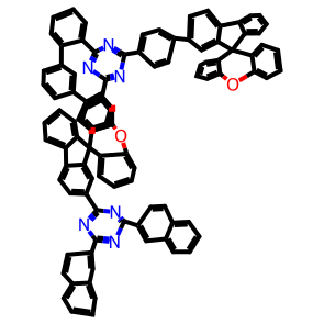 c1ccc(-c2nc(-c3ccc(-c4ccc5c(c4)C4(c6ccccc6Oc6ccccc64)c4ccccc4-5)cc3)nc(-c3ccccc3-c3cccc(-c4ccc5c(c4)C4(c6ccccc6O5)c5ccccc5-c5ccc(-c6nc(-c7ccc8ccccc8c7)nc(-c7ccc8ccccc8c7)n6)cc54)c3)n2)cc1